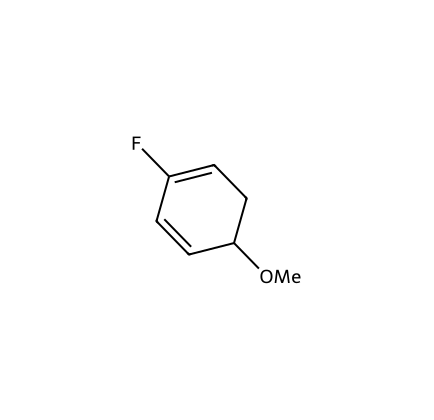 COC1C=CC(F)=CC1